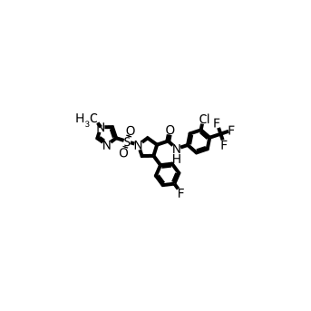 Cn1cnc(S(=O)(=O)N2CC(C(=O)Nc3ccc(C(F)(F)F)c(Cl)c3)C(c3ccc(F)cc3)C2)c1